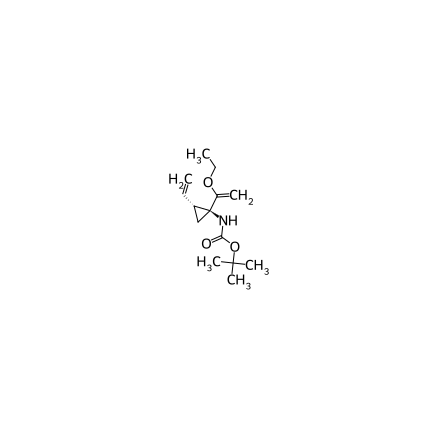 C=C[C@H]1C[C@@]1(NC(=O)OC(C)(C)C)C(=C)OCC